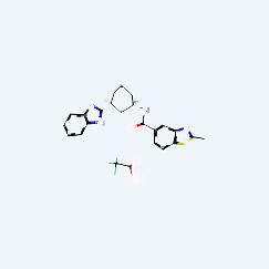 Cc1nc2cc(C(=O)N[C@@H]3CCC[C@H](c4nc5ccccc5[nH]4)C3)ccc2s1.O=C(O)C(F)(F)F